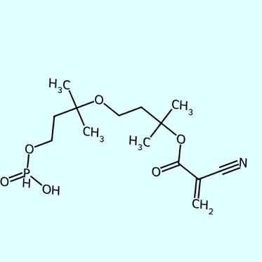 C=C(C#N)C(=O)OC(C)(C)CCOC(C)(C)CCO[PH](=O)O